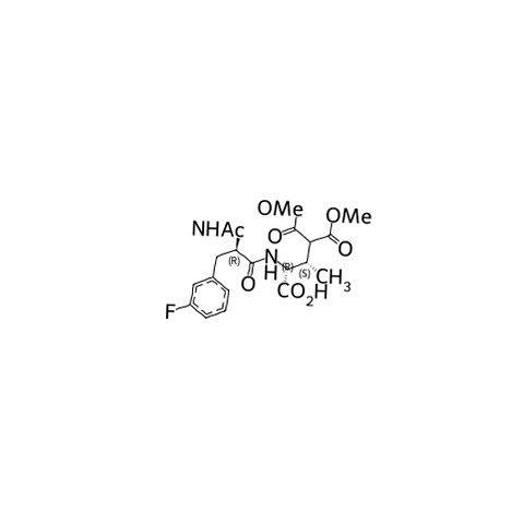 COC(=O)C(C(=O)OC)[C@H](C)[C@@H](NC(=O)[C@@H](Cc1cccc(F)c1)NC(C)=O)C(=O)O